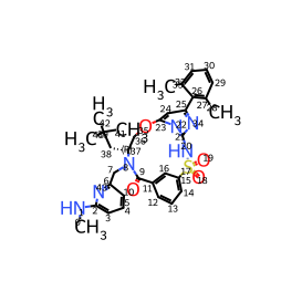 CNc1cccc(CN2C(=O)c3cccc(c3)S(=O)(=O)Nc3nc(cc(-c4c(C)cccc4C)n3)OC[C@H]2CC(C)(C)C)n1